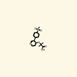 CC(C)(Sc1ccncc1-c1ccc(S(C)(=O)=O)cc1)C(=O)O